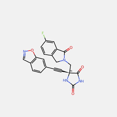 O=C1NC(=O)[C@@](C#Cc2ccc3cnoc3c2)(CN2Cc3ccc(F)cc3C2=O)N1